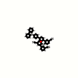 N#Cc1ccc(-n2c3ccc(C#N)cc3c3cccc(C#N)c32)c(-c2ccc(-c3ccc(-n4c5ccccc5c5ccccc54)cc3)cc2)c1